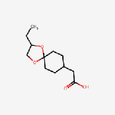 CCC1COC2(CCC(CC(=O)O)CC2)O1